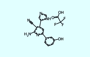 N#Cc1c(-c2cnc[nH]2)cc(-c2cccc(O)c2)nc1N.O=C(O)C(F)(F)F